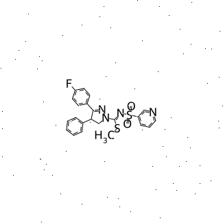 CSC(=NS(=O)(=O)c1cccnc1)N1CC(c2ccccc2)C(c2ccc(F)cc2)=N1